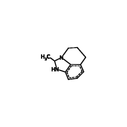 CC1Nc2cccc3c2N1CCC3